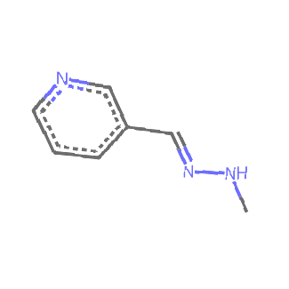 CN/N=C/c1cccnc1